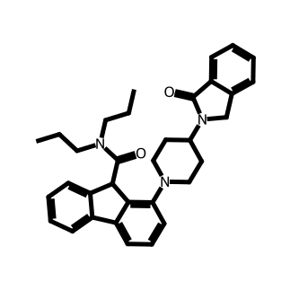 CCCN(CCC)C(=O)C1c2ccccc2-c2cccc(N3CCC(N4Cc5ccccc5C4=O)CC3)c21